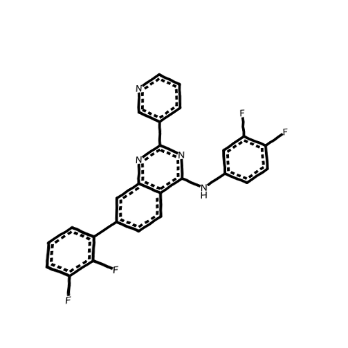 Fc1ccc(Nc2nc(-c3cccnc3)nc3cc(-c4cccc(F)c4F)ccc23)cc1F